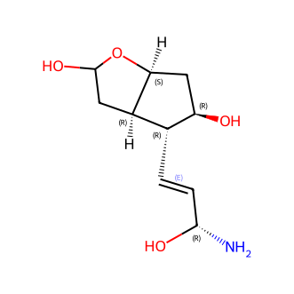 N[C@H](O)/C=C/[C@@H]1[C@H]2CC(O)O[C@H]2C[C@H]1O